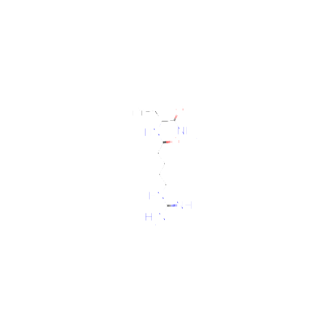 CC(C)C[C@H](NC(=O)CCCCNC(=N)N)C(N)=O